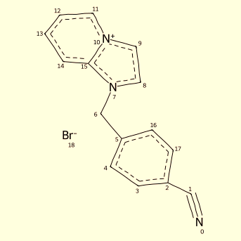 N#Cc1ccc(Cn2cc[n+]3ccccc23)cc1.[Br-]